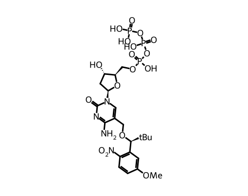 COc1ccc([N+](=O)[O-])c([C@@H](OCc2cn([C@H]3C[C@H](O)[C@@H](COP(=O)(O)OP(=O)(O)OP(=O)(O)O)O3)c(=O)nc2N)C(C)(C)C)c1